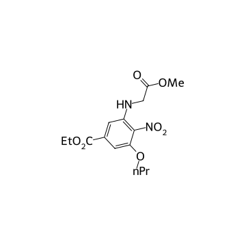 CCCOc1cc(C(=O)OCC)cc(NCC(=O)OC)c1[N+](=O)[O-]